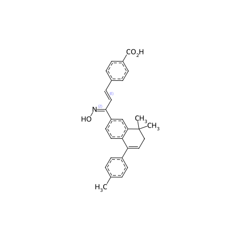 Cc1ccc(C2=CCC(C)(C)c3cc(C(/C=C/c4ccc(C(=O)O)cc4)=N\O)ccc32)cc1